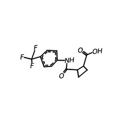 O=C(O)C1CCC1C(=O)Nc1ccc(C(F)(F)F)cc1